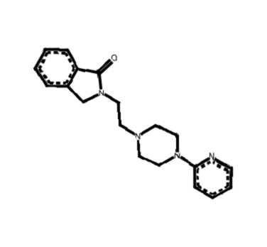 O=C1c2ccccc2CN1CCN1CCN(c2ccccn2)CC1